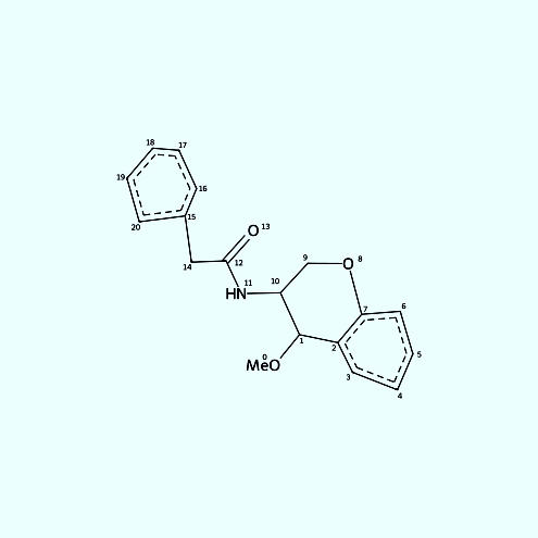 COC1c2ccccc2OCC1NC(=O)Cc1ccccc1